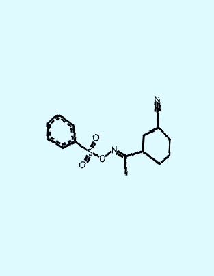 C/C(=N\OS(=O)(=O)c1ccccc1)C1CCCC(C#N)C1